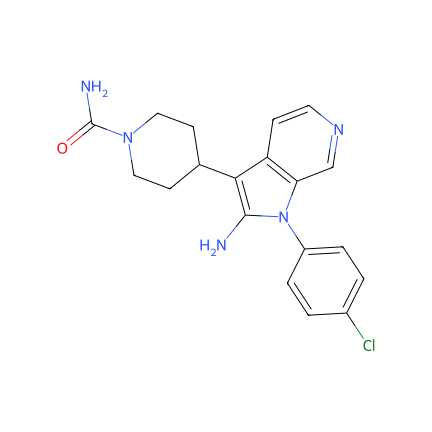 NC(=O)N1CCC(c2c(N)n(-c3ccc(Cl)cc3)c3cnccc23)CC1